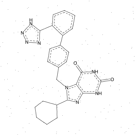 O=c1[nH]c(=O)c2c(nc(C3CCCCC3)n2Cc2ccc(-c3ccccc3-c3nnn[nH]3)cc2)[nH]1